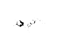 O=C(O)C1=Cc2cc(Cl)c(Oc3ccc(F)c(F)c3)cc2OC1C(F)(F)F